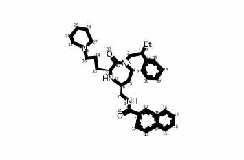 CCC(CN1CC[C@@H](CNC(=O)c2ccc3ccccc3c2)N[C@@H](CCCN2CCCCC2)C1=O)c1ccccc1